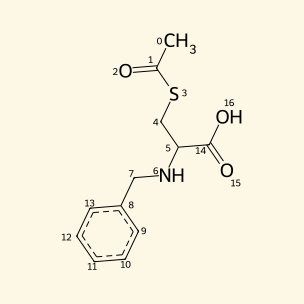 CC(=O)SCC(NCc1ccccc1)C(=O)O